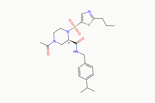 CCCc1ncc(S(=O)(=O)N2CCN(C(C)=O)C[C@@H]2C(=O)NCc2ccc(C(C)C)cc2)s1